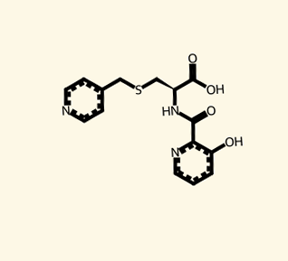 O=C(N[C@@H](CSCc1ccncc1)C(=O)O)c1ncccc1O